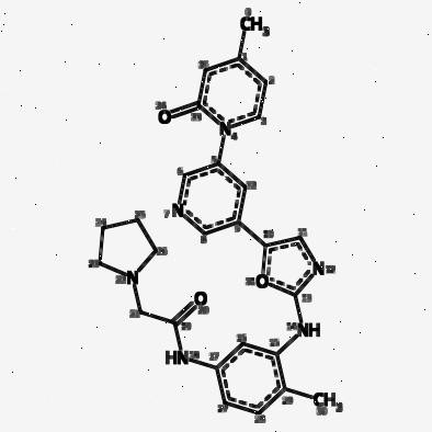 Cc1ccn(-c2cncc(-c3cnc(Nc4cc(NC(=O)CN5CCCC5)ccc4C)o3)c2)c(=O)c1